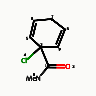 CNC(=O)C1(Cl)C=C[CH]C=C1